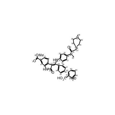 COC(=O)c1ccc2c(c1)NC(=O)C2=C(Nc1ccc(N(C)C(=O)CN2CCN(C)CC2)cc1)c1ccccc1.O.O=C(O)c1ccccc1